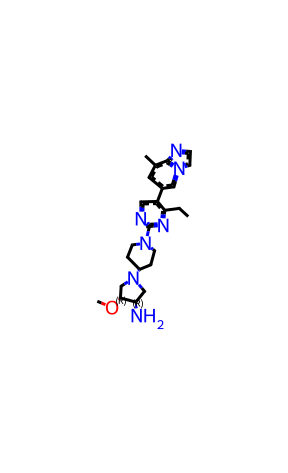 CCc1nc(N2CCC(N3C[C@@H](N)[C@H](OC)C3)CC2)ncc1-c1cc(C)c2nccn2c1